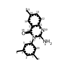 Cc1cc(C)cc(-n2c(N)nc3ccc(I)cc3c2=O)c1